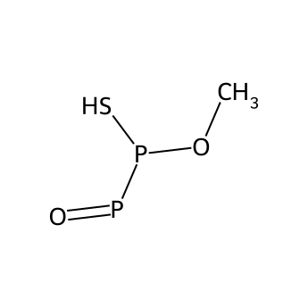 COP(S)P=O